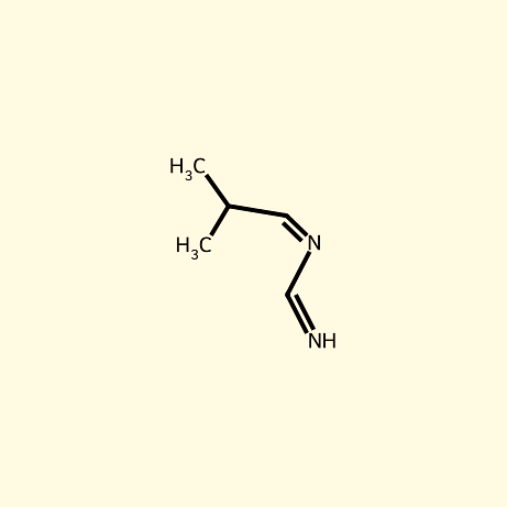 CC(C)/C=N\C=N